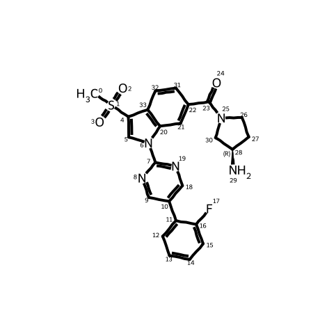 CS(=O)(=O)c1cn(-c2ncc(-c3ccccc3F)cn2)c2cc(C(=O)N3CC[C@@H](N)C3)ccc12